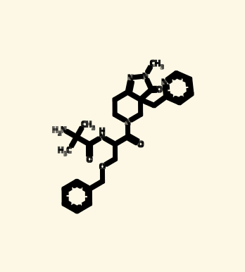 CN1N=C2CCN(C(=O)C(COCc3ccccc3)NC(=O)C(C)(C)N)CC2(Cc2ccccn2)C1=O